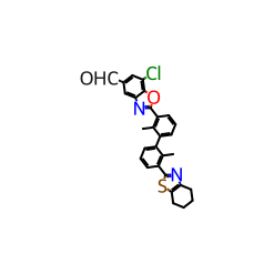 Cc1c(-c2nc3cc(C=O)cc(Cl)c3o2)cccc1-c1cccc(-c2nc3c(s2)CCCC3)c1C